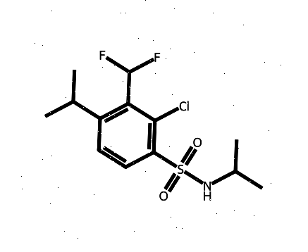 CC(C)NS(=O)(=O)c1ccc(C(C)C)c(C(F)F)c1Cl